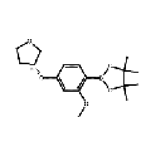 COc1cc(O[C@@H]2CCOC2)ccc1B1OC(C)(C)C(C)(C)O1